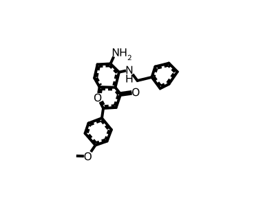 COc1ccc(-c2cc(=O)c3c(NCc4ccccc4)c(N)ccc3o2)cc1